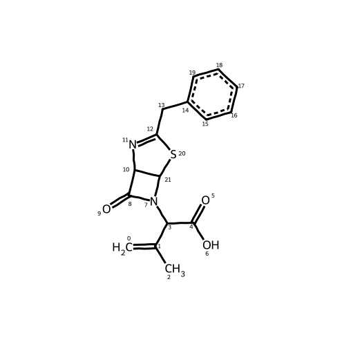 C=C(C)C(C(=O)O)N1C(=O)C2N=C(Cc3ccccc3)SC21